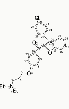 CCN(CC)CCCOc1ccc(C(=O)c2oc3ccccc3c2-c2ccc(Cl)cc2)cc1